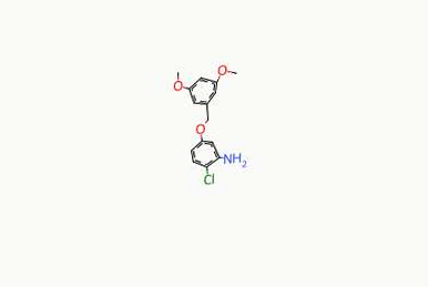 COc1cc(COc2ccc(Cl)c(N)c2)cc(OC)c1